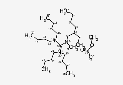 CCCCC(CC)CN(C)C(N(CCCC)CCCC)=[N+](CCCC)CCCC.COC(=O)[O-]